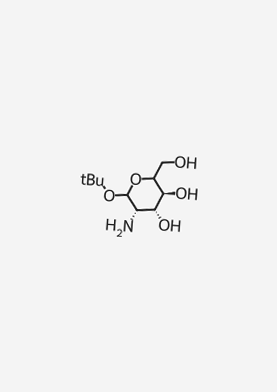 CC(C)(C)OC1OC(CO)[C@@H](O)[C@H](O)[C@@H]1N